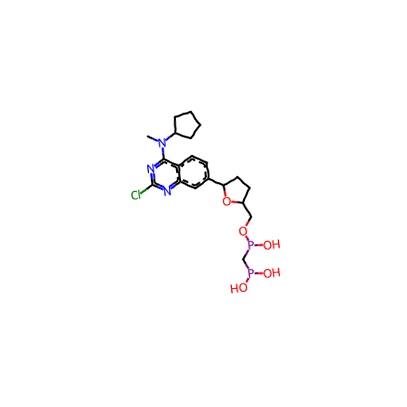 CN(c1nc(Cl)nc2cc(C3CCC(COP(O)CP(O)O)O3)ccc12)C1CCCC1